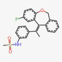 C/C(=C1\c2ccccc2COc2ccc(F)cc21)c1cccc(NS(C)(=O)=O)c1